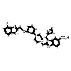 O=C(O)c1ccc2nc(CN3CCN(c4cccc(OCc5nc6c(F)cccc6s5)n4)CC3)n(C[C@@H]3CCO3)c2c1